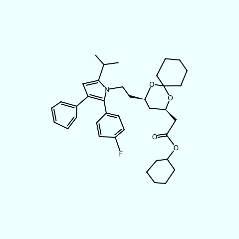 CC(C)c1cc(-c2ccccc2)c(-c2ccc(F)cc2)n1CC[C@@H]1C[C@H](CC(=O)OC2CCCCC2)OC2(CCCCC2)O1